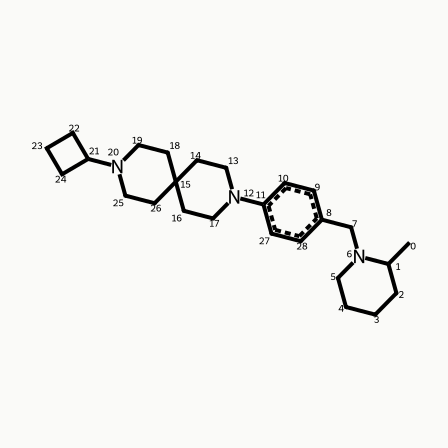 CC1CCCCN1Cc1ccc(N2CCC3(CC2)CCN(C2CCC2)CC3)cc1